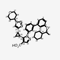 CC(Oc1cccc(-c2cccc(-n3ncc(C(=O)O)c3[C@H]3C[C@@H]3c3cn(C4CCOCC4)nn3)c2)c1)C1CCCCC1